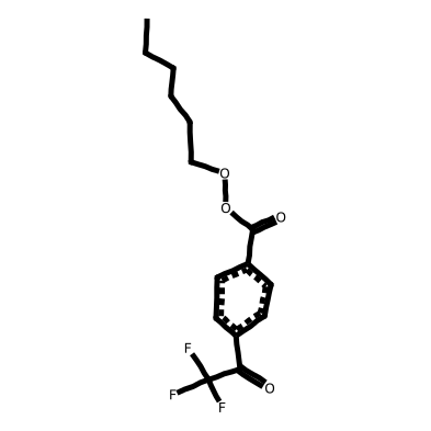 CCCCCCOOC(=O)c1ccc(C(=O)C(F)(F)F)cc1